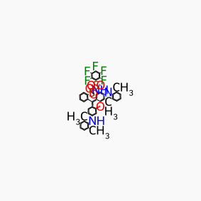 Cc1cccc(C)c1/N=c1/ccc2c(-c3ccccc3S(=O)(=O)NS(=O)(=O)c3c(F)c(F)c(F)c(F)c3F)c3ccc(Nc4c(C)cccc4C)cc3oc-2c1